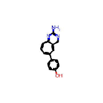 NC1=NCC2=CC(c3ccc(O)cc3)=CC=CC2=N1